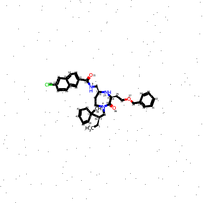 CC[C@H](CN1CC[C@@H](CNC(=O)c2ccc3cc(Cl)ccc3c2)N[C@@H](CCOCc2ccccc2)C1=O)C1(C)C=CC=CC1